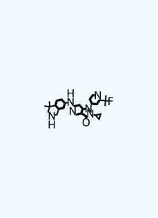 CC(C)(F)c1cc(-n2c3cc(Nc4ccc5c(c4)CNCC5(C)C)ncc3c(=O)n2C2CC2)ccn1